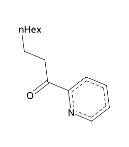 CCCCCCCCC(=O)c1ccccn1